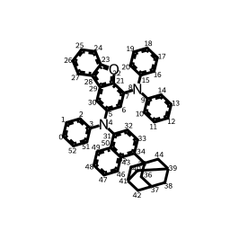 c1ccc(N(c2cc(N(c3ccccc3)c3ccccc3)c3oc4ccccc4c3c2)c2ccc(C34CC5CC(CC(C5)C3)C4)c3ccccc23)cc1